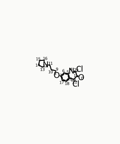 O=C1C(Cl)=Nc2cc(OCCCN3CCCC3)ccc2C1Cl